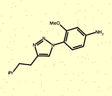 COc1cc(N)ccc1-n1cc(CCC(C)C)nn1